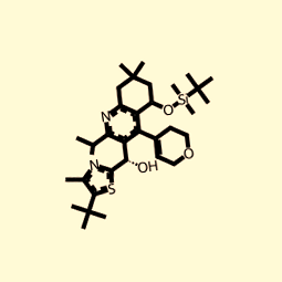 Cc1nc([C@@H](O)c2c(C(C)C)nc3c(c2C2=CCOCC2)C(O[Si](C)(C)C(C)(C)C)CC(C)(C)C3)sc1C(C)(C)C